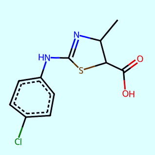 CC1N=C(Nc2ccc(Cl)cc2)SC1C(=O)O